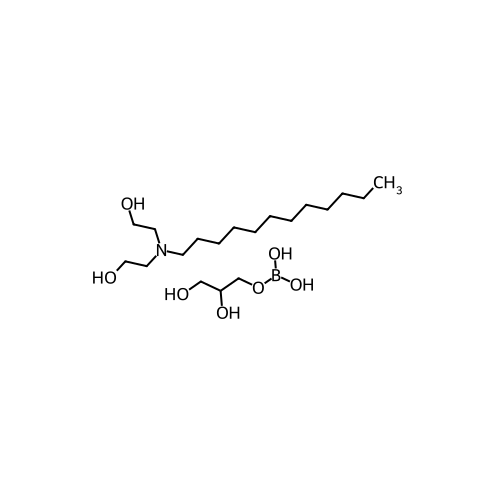 CCCCCCCCCCCCN(CCO)CCO.OCC(O)COB(O)O